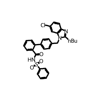 CCCCc1nc2ccc(Cl)cc2n1Cc1ccc(-c2ccccc2C(=O)NS(=O)(=O)c2ccccc2)cc1